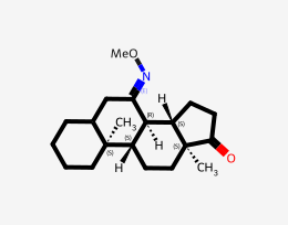 CO/N=C1\CC2CCCC[C@]2(C)[C@H]2CC[C@]3(C)C(=O)CC[C@H]3[C@H]12